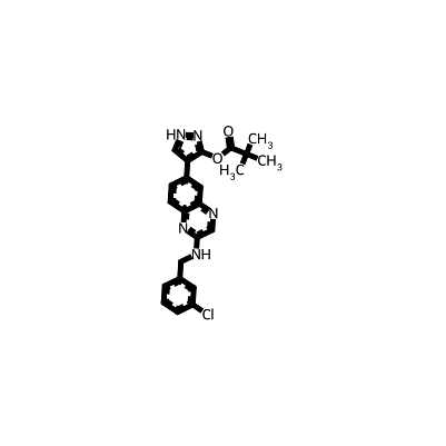 CC(C)(C)C(=O)Oc1n[nH]cc1-c1ccc2nc(NCc3cccc(Cl)c3)cnc2c1